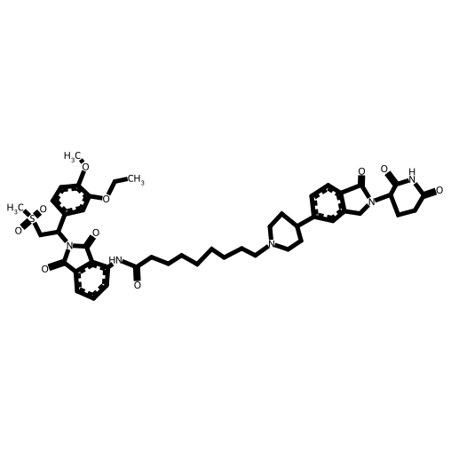 CCOc1cc(C(CS(C)(=O)=O)N2C(=O)c3cccc(NC(=O)CCCCCCCCN4CCC(c5ccc6c(c5)CN(C5CCC(=O)NC5=O)C6=O)CC4)c3C2=O)ccc1OC